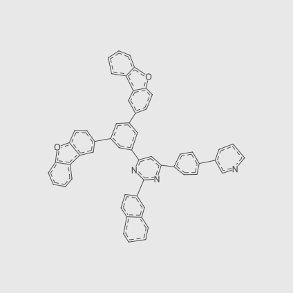 c1cncc(-c2ccc(-c3cc(-c4cc(-c5ccc6oc7ccccc7c6c5)cc(-c5ccc6oc7ccccc7c6c5)c4)nc(-c4ccc5ccccc5c4)n3)cc2)c1